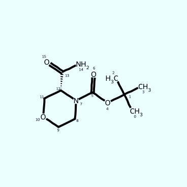 CC(C)(C)OC(=O)N1CCOC[C@@H]1C(N)=O